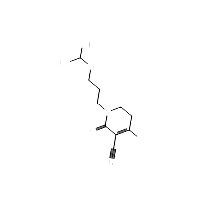 CC1=C(C#N)C(=O)N(CCCOC(C)C)CC1